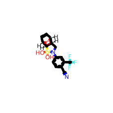 N#Cc1ccc(N2C[C@H]3[C@H]([C@H]4C=C[C@@H]3O4)S2(O)O)cc1C(F)(F)F